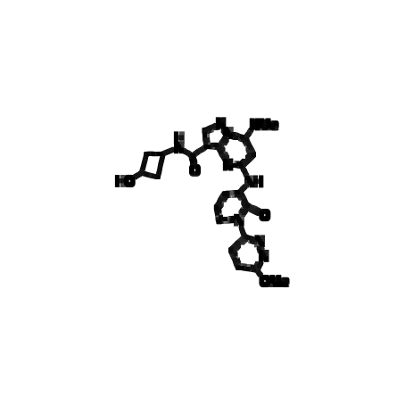 CNc1cc(Nc2cccn(-c3ccc(OC)nn3)c2=O)nc2c(C(=O)NC3CC(O)C3)cnn12